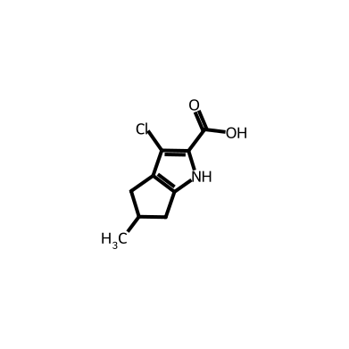 CC1Cc2[nH]c(C(=O)O)c(Cl)c2C1